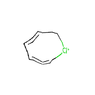 C1=CC[Cl+]C=C1